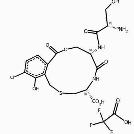 N[C@@H](CO)C(=O)N[C@H]1COC(=O)c2ccc(Cl)c(O)c2CSC[C@@H](C(=O)O)NC1=O.O=C(O)C(F)(F)F